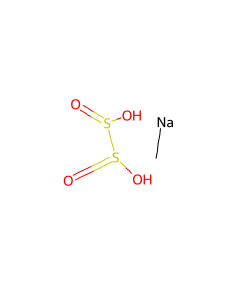 O=S(O)S(=O)O.[CH3][Na]